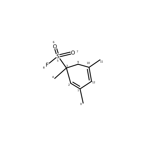 CC1=CC(C)(S(=O)(=O)F)CC(C)=C1